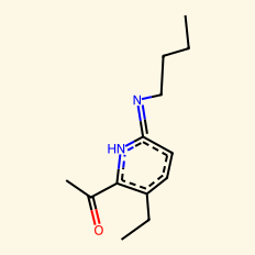 CCCCN=c1ccc(CC)c(C(C)=O)[nH]1